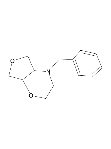 c1ccc(CN2CCOC3COCC32)cc1